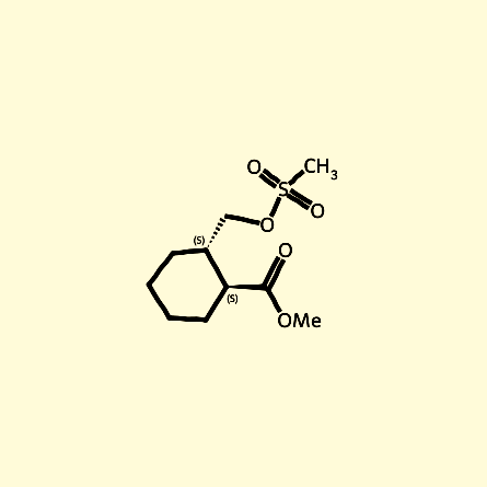 COC(=O)[C@H]1CCCC[C@@H]1COS(C)(=O)=O